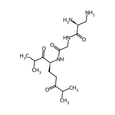 CC(C)C(=O)CC[C@H](NC(=O)CNC(=O)[C@@H](N)CN)C(=O)C(C)C